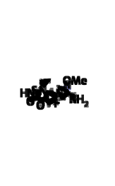 CO/N=C1\CN(c2cc3c(cc2F)c(=O)c2c(=O)[nH]sc2n3C2CC2)C[C@@H]1CN